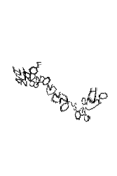 O=C1CCC(N2Cc3c(SCCC(=O)N4CCN(C5CCN(c6ccc7c(c6)C(=O)N(C(C(=O)Nc6nccs6)c6cc(F)ccc6O)C7)CC5)CC4)cccc3C2=O)C(=O)N1